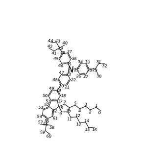 CCCCCCCCC1(CCCCCCCC)c2cc(-c3ccc(N(c4ccc(C(C)CC)cc4)c4ccc(C(C)(CC)CC)cc4)cc3)ccc2-c2ccc(C(C)(C)CC)cc21